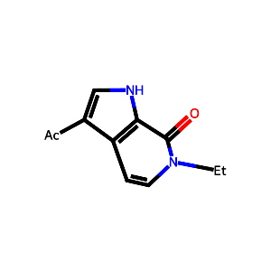 CCn1ccc2c(C(C)=O)c[nH]c2c1=O